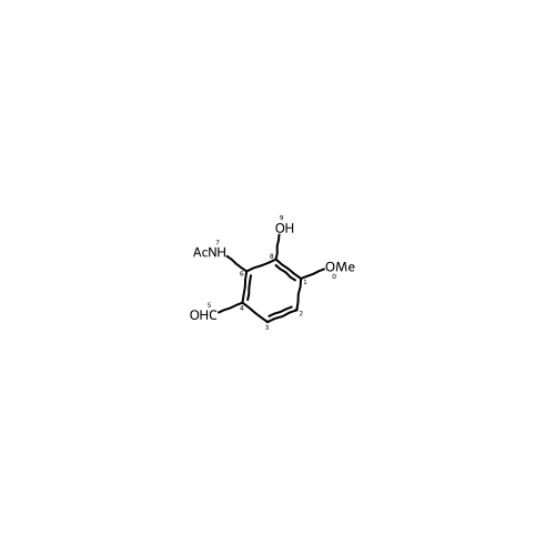 COc1ccc(C=O)c(NC(C)=O)c1O